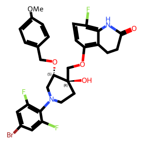 COc1ccc(CO[C@H]2CN(c3c(F)cc(Br)cc3F)CC[C@@]2(O)COc2ccc(F)c3c2CCC(=O)N3)cc1